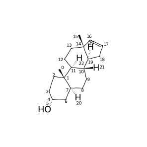 C[C@]12CC[C@@H](O)C[C@@H]1CC[C@@H]1[C@@H]2CC[C@]2(C)C=CC[C@@H]12